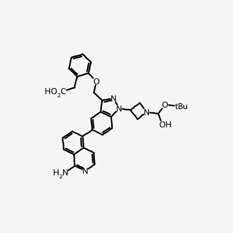 CC(C)(C)OC(O)N1CC(n2nc(COc3ccccc3CC(=O)O)c3cc(-c4cccc5c(N)nccc45)ccc32)C1